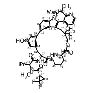 CCn1c(-c2cccnc2[C@H](C)OC)c2c3cc(ccc31)-c1cc(O)cc(c1)C[C@H](NC(=O)C(C(C)C)N(C)C(=O)[C@@H]1CC1(F)F)C(=O)N1CCC[C@H](N1)C(=O)OCC(C)(C)C2